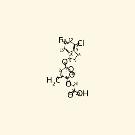 C=C(CC(=O)OC1CCc2c(Cl)cc(F)cc21)C(=O)OCC(=O)O